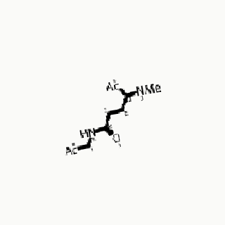 CNC(CCC(=O)NCC(C)=O)C(C)=O